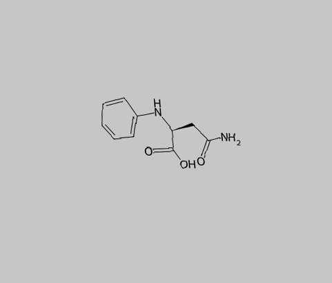 NC(=O)C[C@H](Nc1ccccc1)C(=O)O